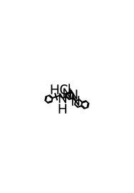 CC(C)(CNc1cc(N2CCc3ccccc3C2)ncn1)c1ccccc1.Cl